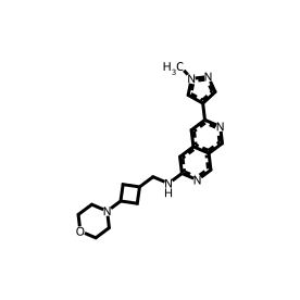 Cn1cc(-c2cc3cc(NCC4CC(N5CCOCC5)C4)ncc3cn2)cn1